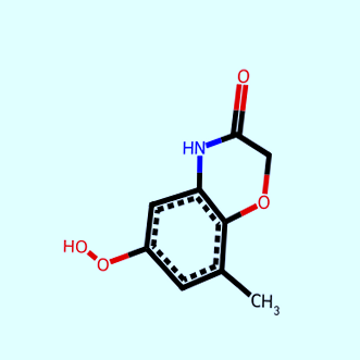 Cc1cc(OO)cc2c1OCC(=O)N2